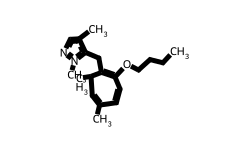 CCCCOC1=C(Cc2c(C)cnn2C)C(C)C=C(C)C=C1